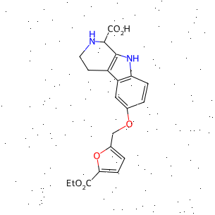 CCOC(=O)c1ccc(COc2ccc3[nH]c4c(c3c2)CCNC4C(=O)O)o1